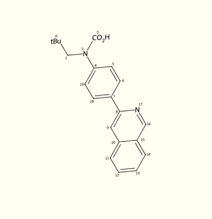 CC(C)(C)CN(C(=O)O)c1ccc(-c2cc3ccccc3cn2)cc1